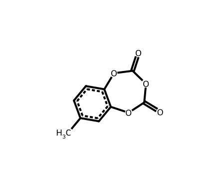 Cc1ccc2c(c1)OC(=O)OC(=O)O2